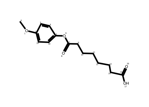 COc1ccc(OC(=O)CCCCCCC(=O)O)cc1